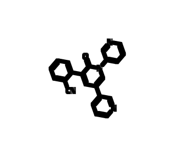 N#Cc1ccccc1-c1cc(-c2cccnc2)cn(-c2cccnc2)c1=O